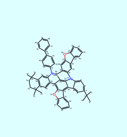 CC(C)(C)c1ccc2c(c1)c1c3c(oc4ccccc43)c3c4c1n2-c1cc2c(cc1B4N(c1ccc(-c4ccccc4)cc1)c1cc4c(cc1-3)C(C)(C)CCC4(C)C)oc1ccccc12